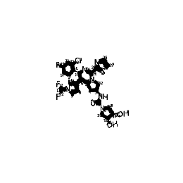 O=C(N[C@H]1CC2=C(c3ccn(C(F)F)n3)[C@H](c3ccc(F)cc3Cl)N=C(c3nccs3)N2C1)N1C[C@H](O)[C@@H](O)C1